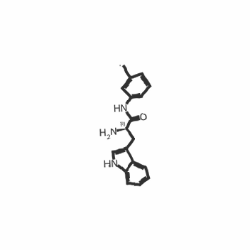 [CH2]c1cccc(NC(=O)[C@H](N)Cc2c[nH]c3ccccc23)c1